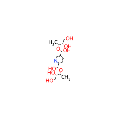 CC(OC(O)c1ccc(C(O)OC(C)C(O)CO)nc1)C(O)CO